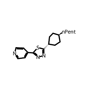 CCCCC[C@H]1CC[C@H](c2nnc(-c3ccncc3)s2)CC1